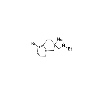 CCN1C=NC2(CCc3c(Br)cccc3C2)C1